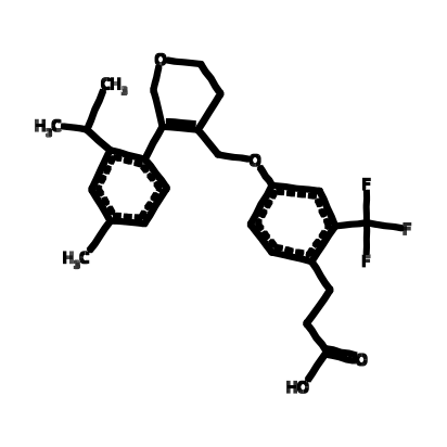 Cc1ccc(C2=C(COc3ccc(CCC(=O)O)c(C(F)(F)F)c3)CCOC2)c(C(C)C)c1